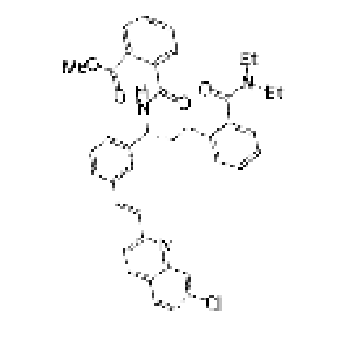 CCN(CC)C(=O)c1ccccc1CC[C@@H](NC(=O)c1ccccc1C(=O)OC)c1cccc(/C=C/c2ccc3ccc(Cl)cc3n2)c1